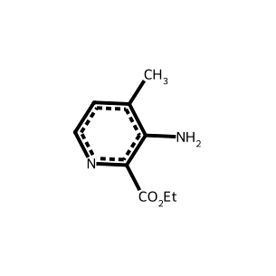 CCOC(=O)c1nccc(C)c1N